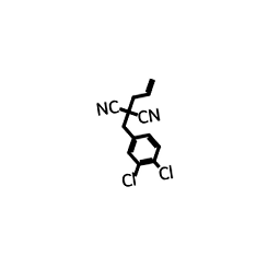 C=CCC(C#N)(C#N)Cc1ccc(Cl)c(Cl)c1